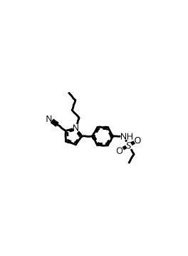 CCCCn1c(C#N)ccc1-c1ccc(NS(=O)(=O)CC)cc1